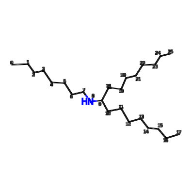 CCCCCCCCNC(CCCCCCCC)CCCCCCCC